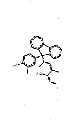 C/C=C(OC(C)=O)\C(C)=C/C(C)C1(c2ccc(OC)c(C)c2)c2ccccc2-c2ccccc21